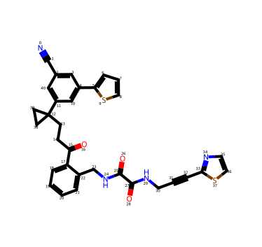 N#Cc1cc(-c2cccs2)cc(C2(CCC(=O)c3ccccc3CNC(=O)C(=O)NCC#Cc3nccs3)CC2)c1